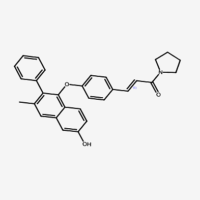 Cc1cc2cc(O)ccc2c(Oc2ccc(/C=C/C(=O)N3CCCC3)cc2)c1-c1ccccc1